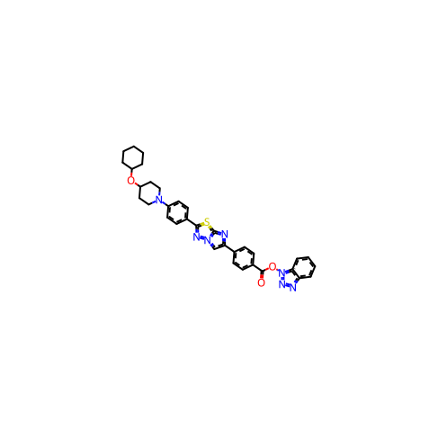 O=C(On1nnc2ccccc21)c1ccc(-c2cn3nc(-c4ccc(N5CCC(OC6CCCCC6)CC5)cc4)sc3n2)cc1